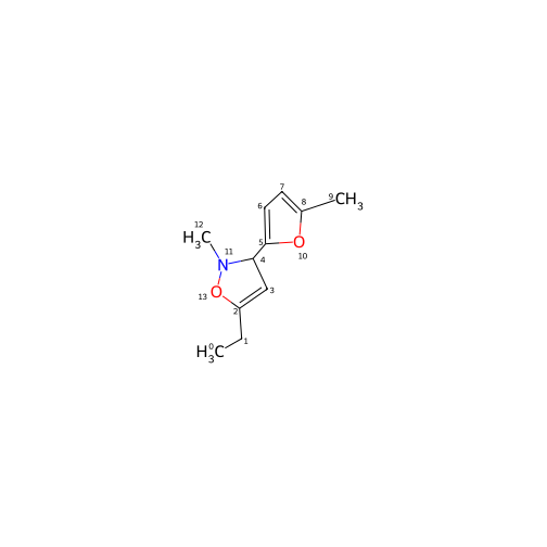 CCC1=CC(c2ccc(C)o2)N(C)O1